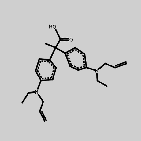 C=CCN(CC)c1ccc(C(C)(C(=O)O)c2ccc(N(CC)CC=C)cc2)cc1